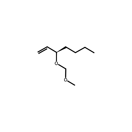 C=C[C@@H](CCCC)OCOC